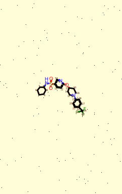 O=S(=O)(NC1CCCCC1)c1ccc(OC2CCN(c3ccc(C(F)(F)F)cc3)CC2)nc1